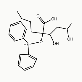 CCCCC(O[SiH](c1ccccc1)c1ccccc1)(C(=O)O)C(O)CC(C)O